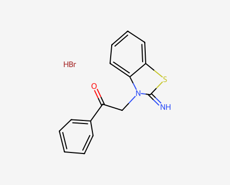 Br.N=c1sc2ccccc2n1CC(=O)c1ccccc1